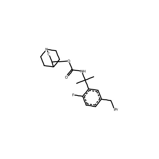 CC(C)Cc1ccc(F)c(C(C)(C)NC(=O)OC2CN3CCC2CC3)c1